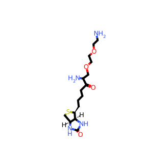 NCCOCCOCC(N)C(=O)CCCC[C@@H]1SC[C@@H]2NC(=O)N[C@@H]21